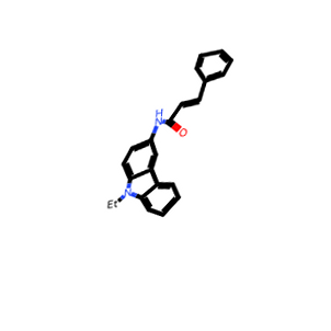 CCn1c2ccccc2c2cc(NC(=O)C=Cc3ccccc3)ccc21